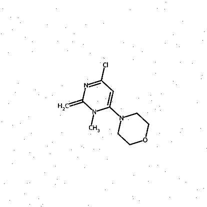 C=C1N=C(Cl)C=C(N2CCOCC2)N1C